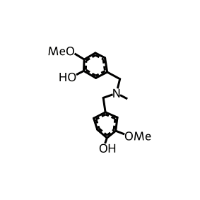 COc1ccc(CN(C)Cc2ccc(O)c(OC)c2)cc1O